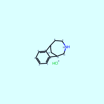 Cl.c1ccc2c(c1)C1CCNCC2C1